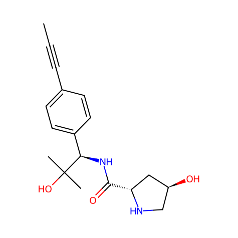 CC#Cc1ccc([C@@H](NC(=O)[C@@H]2C[C@@H](O)CN2)C(C)(C)O)cc1